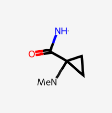 CNC1(C([NH])=O)CC1